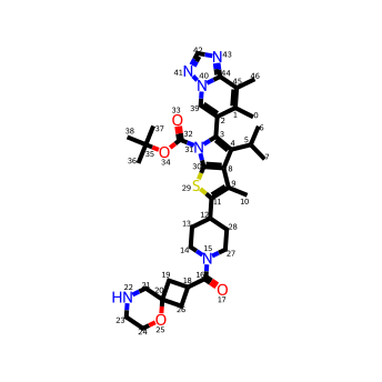 Cc1c(-c2c(C(C)C)c3c(C)c(C4CCN(C(=O)C5CC6(CNCCO6)C5)CC4)sc3n2C(=O)OC(C)(C)C)cn2ncnc2c1C